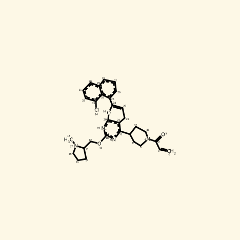 C=CC(=O)N1CCC(c2nc(OCC3CCCN3C)nc3c2CC=C(c2cccc4cccc(Cl)c24)O3)CC1